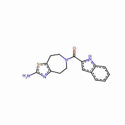 Nc1nc2c(s1)CCN(C(=O)c1cc3ccccc3[nH]1)CC2